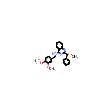 COc1ccc(CNc2nc(C(OC)c3ccccc3)nc3ccccc23)cc1OC